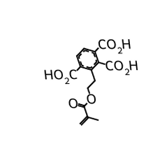 C=C(C)C(=O)OCCc1c(C(=O)O)ccc(C(=O)O)c1C(=O)O